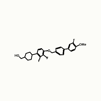 COc1ccc(-c2ccc(COc3ccc(C4CCC(CO)CC4)c(F)c3F)cc2)cc1F